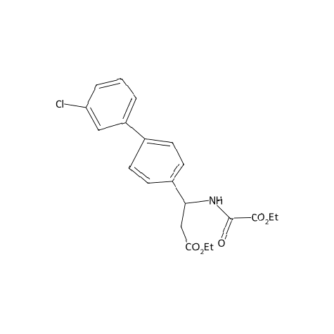 CCOC(=O)CC(NC(=O)C(=O)OCC)c1ccc(-c2cccc(Cl)c2)cc1